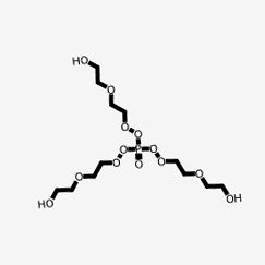 O=P(OOCCOCCO)(OOCCOCCO)OOCCOCCO